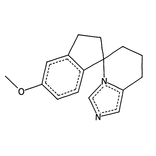 COc1ccc2c(c1)CCC21CCCc2cncn21